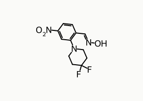 O=[N+]([O-])c1ccc(/C=N/O)c(N2CCC(F)(F)CC2)c1